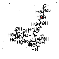 O=C(O)C=COC(C=CC(=O)O)(C=CC(=O)O)[C@H](O)[C@H](O)CO.OC[C@@H](O)[C@@H](O)CO.OC[C@@H](O)[C@@H](O)CO.OC[C@@H](O)[C@@H](O)CO.OC[C@@H](O)[C@@H](O)CO